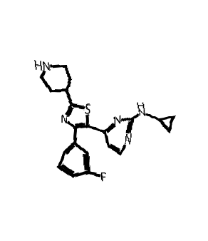 Fc1cccc(-c2nc(C3CCNCC3)sc2-c2ccnc(NC3CC3)n2)c1